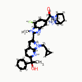 Cn1c(-c2cc3ccc(C(C)(O)c4ccccc4)nc3n2CC2CC2)nc2cc(C(=O)N3CC4CCC3[C@@H]4N)cc(F)c21